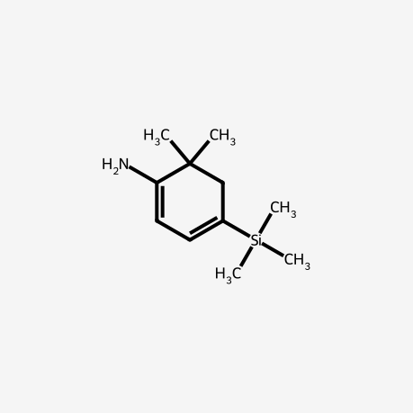 CC1(C)CC([Si](C)(C)C)=CC=C1N